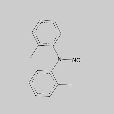 Cc1ccccc1N(N=O)c1ccccc1C